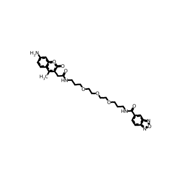 Cc1c(CC(=O)NCCCOCCOCCOCCCNC(=O)c2ccc3nonc3c2)c(=O)oc2cc(N)ccc12